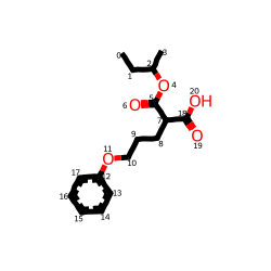 CCC(C)OC(=O)C(CCCOc1ccccc1)C(=O)O